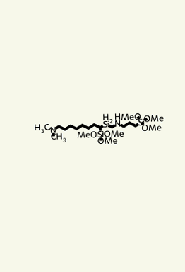 CO[Si](CCCNC[SiH2]C(CCCCCCCN(C)C)[Si](OC)(OC)OC)(OC)OC